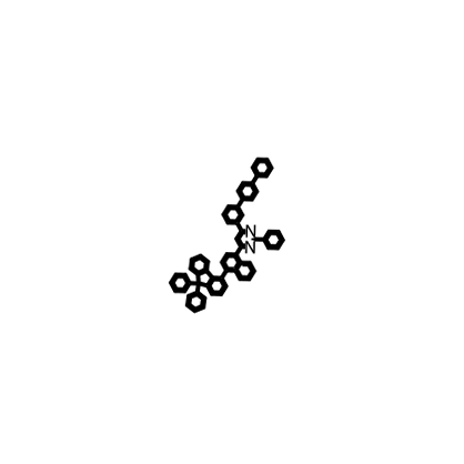 c1ccc(-c2ccc(-c3cccc(-c4cc(-c5ccc(-c6cccc7c6-c6ccccc6C7(c6ccccc6)c6ccccc6)c6ccccc56)nc(-c5ccccc5)n4)c3)cc2)cc1